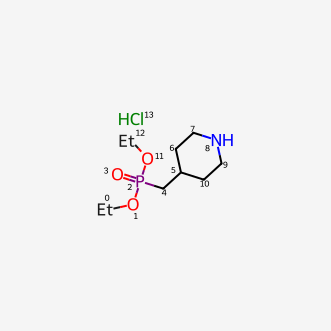 CCOP(=O)(CC1CCNCC1)OCC.Cl